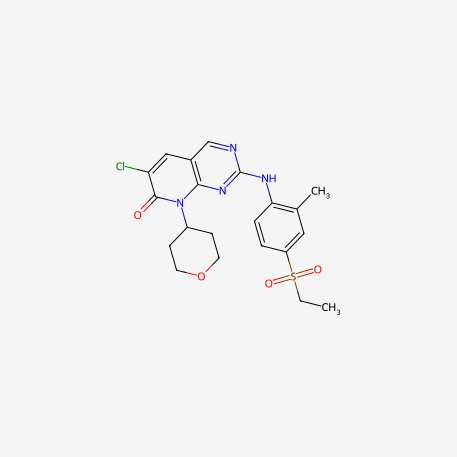 CCS(=O)(=O)c1ccc(Nc2ncc3cc(Cl)c(=O)n(C4CCOCC4)c3n2)c(C)c1